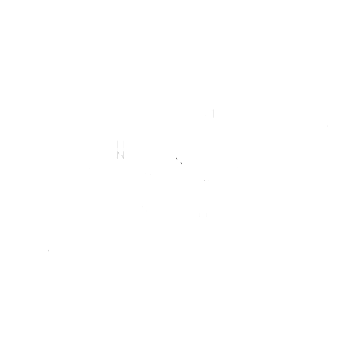 O=C(NC(=S)Nc1cccc(Cl)c1)c1ccc(Cl)cc1Cl